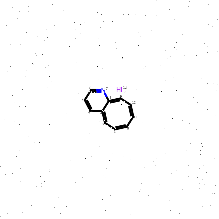 C1=C\C=c2\cccn\c2=C\C=C/1.I